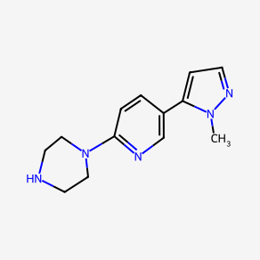 Cn1nccc1-c1ccc(N2CCNCC2)nc1